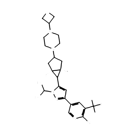 CC(C)n1nc(-c2cnc(N)c(C(F)(F)F)c2)cc1C1[C@H]2CC(N3CCN(C4COC4)CC3)C[C@@H]12